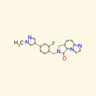 Cn1cc(-c2ccc(CN3Cc4ccc5nccn5c4C3=O)c(F)c2)cn1